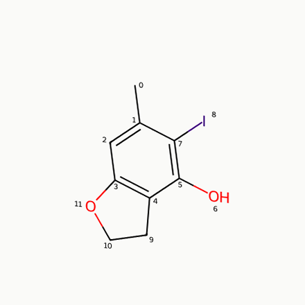 Cc1cc2c(c(O)c1I)CCO2